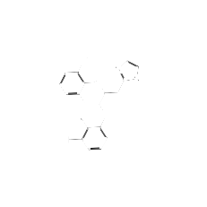 Clc1cccc(OCC(Cc2ncc[nH]2)Sc2c(Cl)cccc2Cl)c1Cl